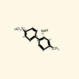 Cc1ccc(-c2ccc(S(=O)(=O)O)cc2)cc1.[NaH]